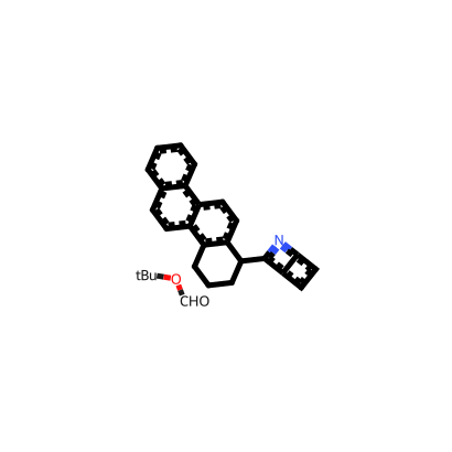 CC(C)(C)OC=O.c1ccc2c(c1)ccc1c3c(ccc12)C(c1nc2ccc1-2)CCC3